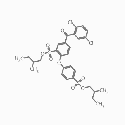 CCC(C)COS(=O)(=O)c1ccc(Oc2ccc(C(=O)c3cc(Cl)ccc3Cl)cc2S(=O)(=O)OCC(C)CC)cc1